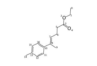 CCOC(=O)CCC=C(C)c1ccc(C)cc1